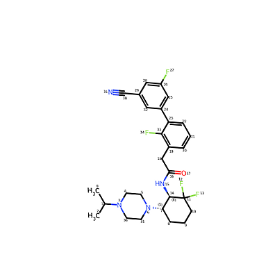 CC(C)N1CCN([C@H]2CCCC(F)(F)[C@@H]2NC(=O)Cc2cccc(-c3cc(F)cc(C#N)c3)c2F)CC1